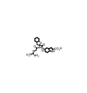 NC(N)=NCC(=O)NC1(C(=O)Nc2ccc3[nH]c(C(=O)O)cc3c2)Cc2ccccc2O1